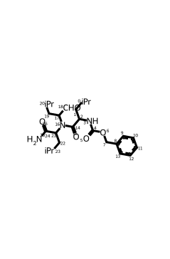 CC(C)CC(NC(=O)OCc1ccccc1)C(=O)N(C(C=O)CC(C)C)C(CC(C)C)C(N)=O